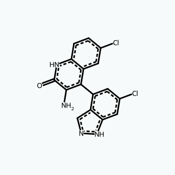 Nc1c(-c2cc(Cl)cc3[nH]ncc23)c2cc(Cl)ccc2[nH]c1=O